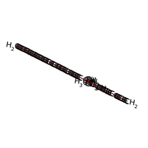 C=C=C=C=C=C=C=C=C=C=C=C=C=C=C=C=C=C=C=C=C=C=C=C=C=C=C=C=C=C=C=C=C=C=C=C=C=C=C=C=C=C=C=C=C=C=C=C=C=C=C=C=C=C=C=C=C=C=C=C=C=C=C=C=C=C=C=C=C=C=C=C=C=C=C=C=C=C1C(C)[C@]2(PC)C(=C=C=C=C=C=C=C=C=C=C=C=C=C=C=C=C=C=C=C=C=C=C=C=C=C=C=C=C=C=C=C=C=C=C=C=C=C=C=C=C=C=C=C=C)[C@](C)(C1C)[C@H](C)C(=C=C=C=C=C=C=C=C=C=C=C)[C@@H]2C